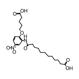 O=C(O)CCCCCCCCCCC(=O)Nc1cc([N+](=O)[O-])ccc1OCCCCC(=O)O